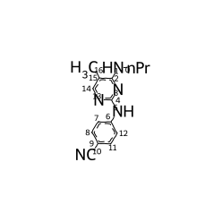 CCCNc1nc(Nc2ccc(C#N)cc2)ncc1C